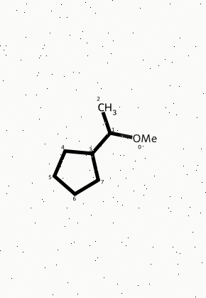 [CH2]OC(C)C1CCCC1